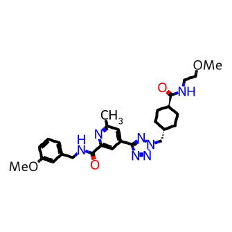 COCCNC(=O)[C@H]1CC[C@H](Cn2nnc(-c3cc(C)nc(C(=O)NCc4cccc(OC)c4)c3)n2)CC1